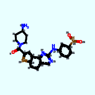 NC1CCN(C(=O)c2cc3c(ccc4cnc(Nc5cccc([SH](=O)=O)c5)nc43)s2)CC1